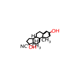 C[C@]12CC=C(O)C=C1CC[C@@H]1C2=CC[C@@]2(C)[C@H]1CC[C@]2(O)C#N